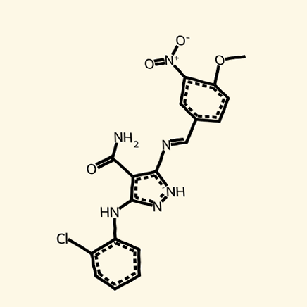 COc1ccc(/C=N/c2[nH]nc(Nc3ccccc3Cl)c2C(N)=O)cc1[N+](=O)[O-]